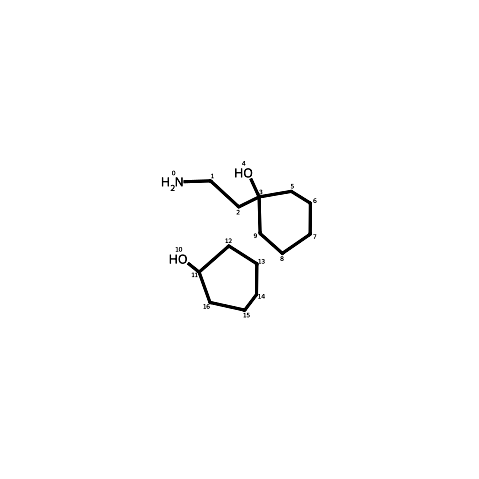 NCCC1(O)CCCCC1.OC1CCCCC1